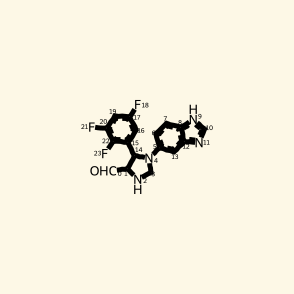 O=CC1NCN(c2ccc3[nH]cnc3c2)C1c1cc(F)cc(F)c1F